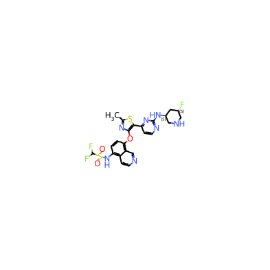 Cc1nc(Oc2ccc(NS(=O)(=O)C(F)F)c3ccncc23)c(-c2ccnc(N[C@@H]3CNC[C@@H](F)C3)n2)s1